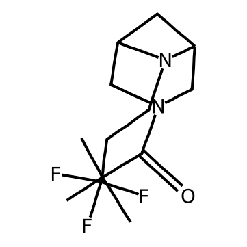 CC(C)(C)C(=O)N1CC2CC(C1)N2CCC(F)(F)F